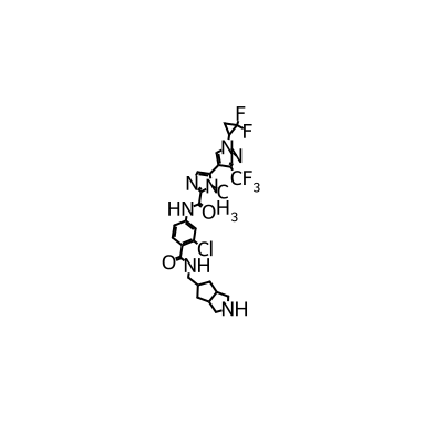 Cn1c(-c2cn(C3CC3(F)F)nc2C(F)(F)F)cnc1C(=O)Nc1ccc(C(=O)NCC2CC3CNCC3C2)c(Cl)c1